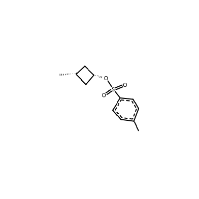 Cc1ccc(S(=O)(=O)O[C@H]2C[C@@H](C)C2)cc1